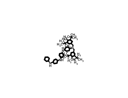 CC(C)(C)c1cc(CN(Cc2cc(C(C)(C)C)c(O)c(C(C)(C)C)c2)c2ccc(Nc3ccc(Nc4ccc(Nc5ccccc5)cc4)cc3)cc2)cc(C(C)(C)C)c1O